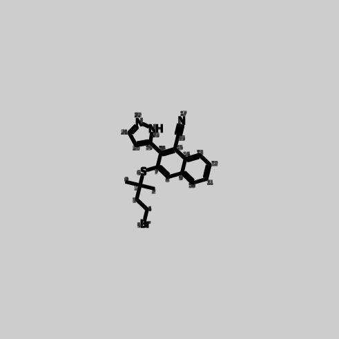 CC(C)(CCBr)Sc1cc2ccccc2c(C#N)c1-c1ccn[nH]1